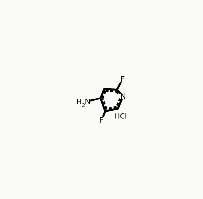 Cl.Nc1cc(F)ncc1F